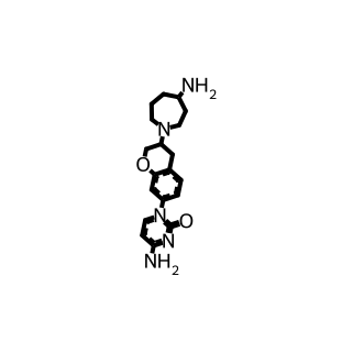 Nc1ccn(-c2ccc3c(c2)OCC(N2CCCC(N)CC2)C3)c(=O)n1